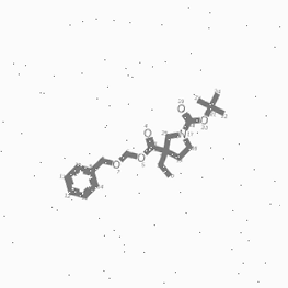 CCC1(C(=O)OCOCc2ccccc2)CCN(C(=O)OC(C)(C)C)C1